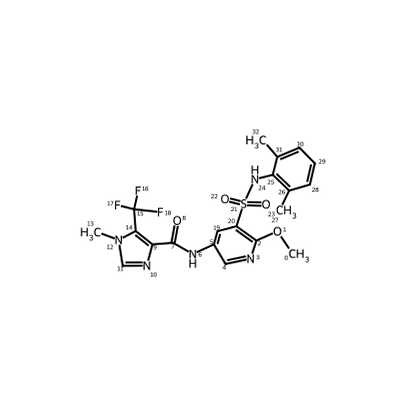 COc1ncc(NC(=O)c2ncn(C)c2C(F)(F)F)cc1S(=O)(=O)Nc1c(C)cccc1C